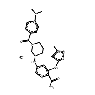 Cc1cc(Nc2nc(N[C@@H]3CCCN(C(=O)c4ccc(N(C)C)cc4)C3)cnc2C(N)=O)sn1.Cl